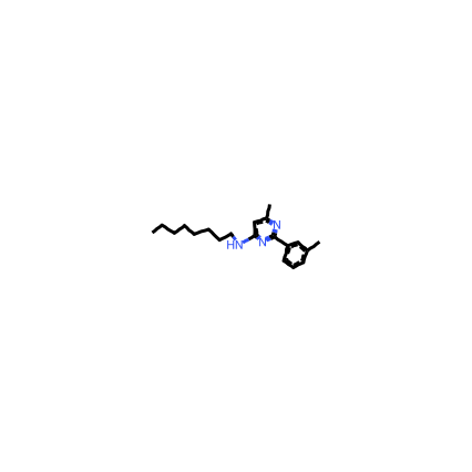 CCCCCCCCNc1cc(C)nc(-c2cccc(C)c2)n1